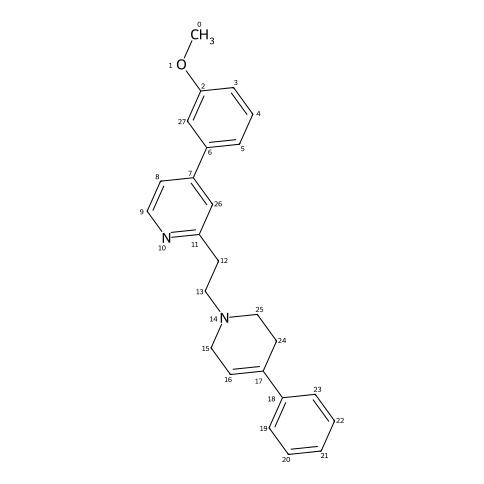 COc1cccc(-c2ccnc(CCN3CC=C(c4ccccc4)CC3)c2)c1